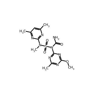 COc1nc(C)nc(N(C(N)=O)S(=O)(=O)N(C)c2nc(C)cc(C)n2)n1